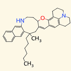 CCCCCCC1(C)CC2=Cc3cc4c5c(c3OC2CCNc2cc3ccccc3cc21)CCCN5CCC4